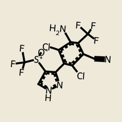 N#Cc1c(Cl)c(-c2n[nH]cc2[S+]([O-])C(F)(F)F)c(Cl)c(N)c1C(F)(F)F